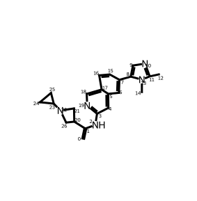 C=C(Nc1cc2cc(-c3cnc(C)n3C)ccc2cn1)C1CN(C2CC2)C1